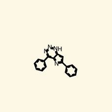 c1ccc(-c2cc3[nH]nnc(-c4ccccc4)c-3n2)cc1